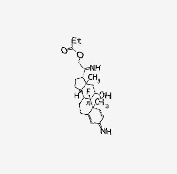 CCC(=O)OCC(=N)C1CC[C@H]2C3CCC4=CC(=N)C=CC4(C)[C@@]3(F)C(O)CC12C